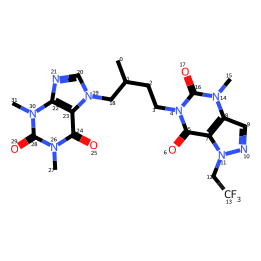 CC(CCn1c(=O)c2c(cnn2CC(F)(F)F)n(C)c1=O)Cn1cnc2c1c(=O)n(C)c(=O)n2C